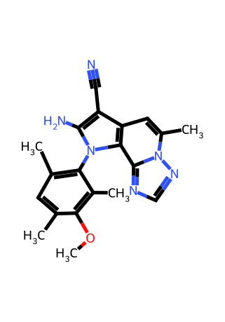 COc1c(C)cc(C)c(-n2c(N)c(C#N)c3cc(C)n4ncnc4c32)c1C